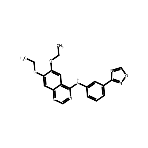 CCOc1cc2ncnc(Nc3cccc(-c4ncon4)c3)c2cc1OCC